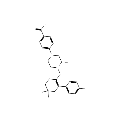 C[C@@H]1CN(c2ccc(C(N)=O)cc2)C[C@@H](C)N1CC1=C(c2ccc(Cl)cc2)CC(C)(C)CC1